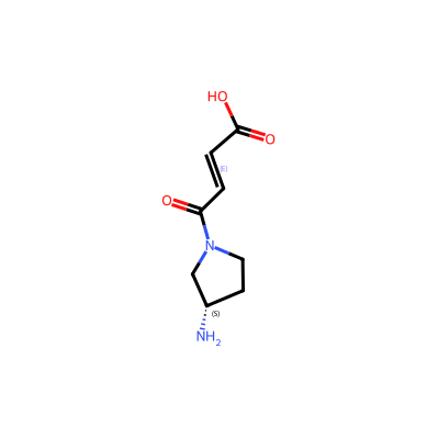 N[C@H]1CCN(C(=O)/C=C/C(=O)O)C1